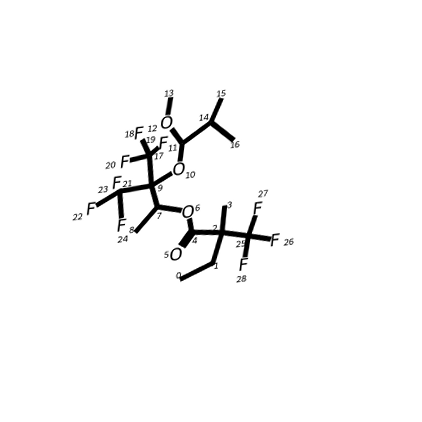 CCC(C)(C(=O)OC(C)C(OC(OC)C(C)C)(C(F)(F)F)C(F)(F)F)C(F)(F)F